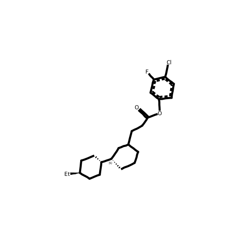 CC[C@H]1CC[C@H]([C@H]2CCCC(CCC(=O)Oc3ccc(Cl)c(F)c3)C2)CC1